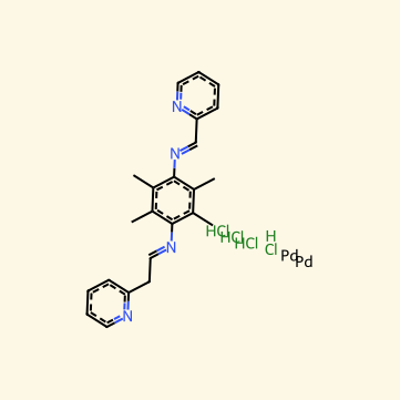 Cc1c(C)c(N=Cc2ccccn2)c(C)c(C)c1N=CCc1ccccn1.Cl.Cl.Cl.Cl.[Pd].[Pd]